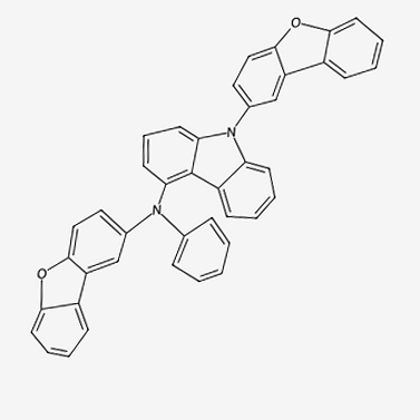 c1ccc(N(c2ccc3oc4ccccc4c3c2)c2cccc3c2c2ccccc2n3-c2ccc3oc4ccccc4c3c2)cc1